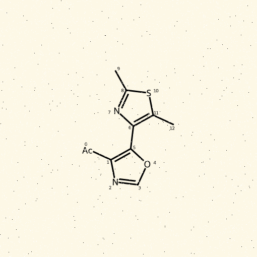 CC(=O)c1ncoc1-c1nc(C)sc1C